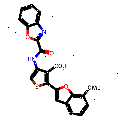 COc1cccc2cc(-c3scc(NC(=O)c4nc5ccccc5o4)c3C(=O)O)oc12